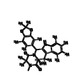 [2H]c1c([2H])c(C2c3[nH]c4c([2H])c([2H])c([2H])c([2H])c4c3C([2H])([2H])[C@@H]3C(=O)N(C)C([2H])([2H])C(=O)N23)c([2H])c2c1OC([2H])([2H])O2